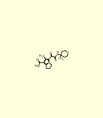 Cc1c(C(=O)O)c2n(c1C(=O)C(=O)NC1(C)CCOCC1)CCC2